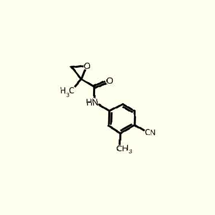 Cc1cc(NC(=O)C2(C)CO2)ccc1C#N